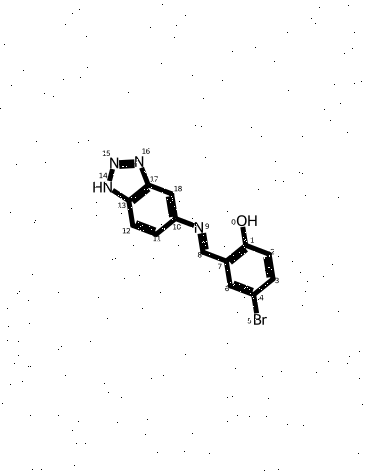 Oc1ccc(Br)cc1/C=N/c1ccc2[nH]nnc2c1